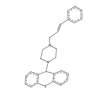 C(=C\c1ccccc1)/CN1CCN(C2c3ccccc3Sc3ccccc32)CC1